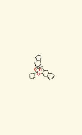 COc1cc2ccccc2cc1O[Si]1(c2ccccc2)Oc2cc3ccccc3cc2O1